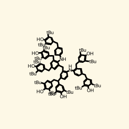 CC(C)(C)c1cc(Cc2ccc(Nc3c(Cc4cc(C(C)(C)C)c(O)c(C(C)(C)C)c4)cc(Cc4cc(C(C)(C)C)c(O)c(C(C)(C)C)c4)cc3Cc3cc(C(Cc4cc(C(C)(C)C)c(O)c(C(C)(C)C)c4)c4cc(C(C)(C)C)c(O)c(C(C)(C)C)c4)ccc3Nc3ccc(Cc4cc(C(C)(C)C)c(O)c(C(C)(C)C)c4)cc3Cc3cc(C(C)(C)C)c(O)c(C(C)(C)C)c3)cc2)cc(C(C)(C)C)c1O